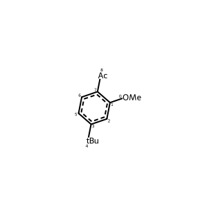 COc1cc(C(C)(C)C)ccc1C(C)=O